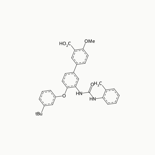 COc1ccc(-c2ccc(Oc3cccc(C(C)(C)C)c3)c(NC(=O)Nc3ccccc3C)c2)cc1C(=O)O